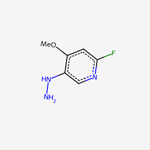 COc1cc(F)ncc1NN